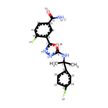 CC(C)(Nc1nnc(-c2cc(C(N)=O)ccc2F)o1)c1ccc(F)cc1